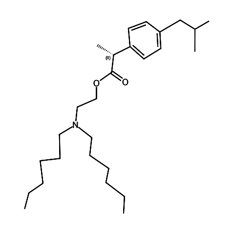 CCCCCCN(CCCCCC)CCOC(=O)[C@H](C)c1ccc(CC(C)C)cc1